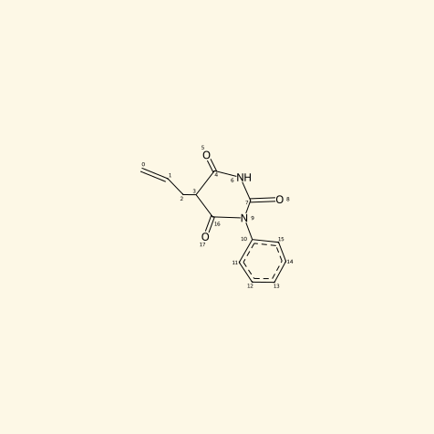 C=CCC1C(=O)NC(=O)N(c2ccccc2)C1=O